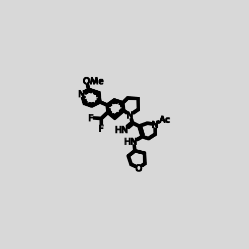 COc1cc(-c2cc3c(cc2C(F)F)N(C(=N)C2=C(NC4CCOCC4)CCN(C(C)=O)C2)CCC3)ccn1